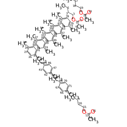 CCCCOC(C)=O.CCCCOC(C)=O.CCCCOC(C)=O.Cc1ccc(C)cc1.Cc1ccc(C)cc1.Cc1ccc(C)cc1.Cc1ccc(C)cc1.Cc1ccc(C)cc1.Cc1ccc(C)cc1.Cc1ccc(C)cc1